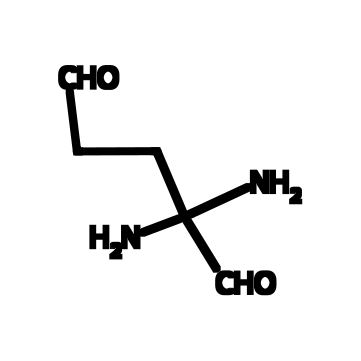 NC(N)(C=O)CCC=O